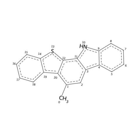 Cc1cc2c3ccccc3[nH]c2c2sc3ccccc3c12